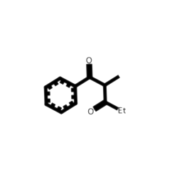 CCC(=O)C(C)C(=O)c1ccccc1